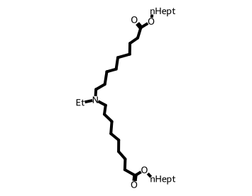 CCCCCCCOC(=O)CCCCCCCCN(CC)CCCCCCCCC(=O)OCCCCCCC